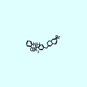 Cc1ccccc1NC(=O)c1ccc(CC2=CC3C=CC(Br)=CC3CC2)cc1